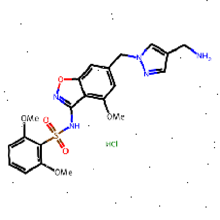 COc1cccc(OC)c1S(=O)(=O)Nc1noc2cc(Cn3cc(CN)cn3)cc(OC)c12.Cl